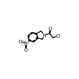 O=C(CCl)N1Cc2ccc([N+](=O)[O-])cc2C1